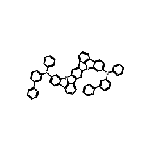 c1ccc(-c2cccc(N(c3ccccc3)c3ccc4c5cccc6c7cc8c(cc7n(c4c3)c56)c3cccc4c5ccc(N(c6ccccc6)c6cccc(-c7ccccc7)c6)cc5n8c43)c2)cc1